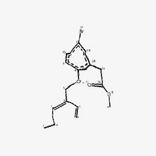 C=C/C(=C\CC)COc1ccc(Br)cc1CC(=O)OC